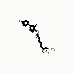 CCC(C)CCCCC(=O)Oc1ccc(-c2ccc(F)cc2)cc1F